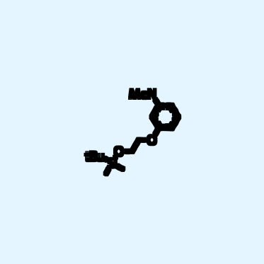 CNc1cccc(OCCO[Si](C)(C)C(C)(C)C)c1